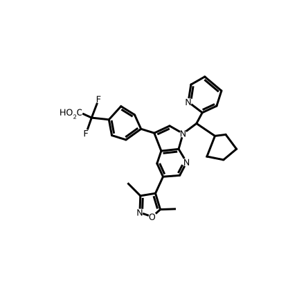 Cc1noc(C)c1-c1cnc2c(c1)c(-c1ccc(C(F)(F)C(=O)O)cc1)cn2C(c1ccccn1)C1CCCC1